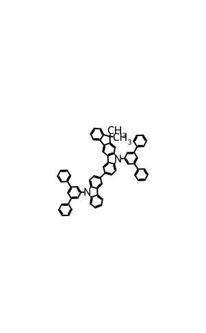 CC1(C)c2ccccc2-c2cc3c4cc(-c5ccc6c(c5)c5ccccc5n6-c5cc(-c6ccccc6)cc(-c6ccccc6)c5)ccc4n(-c4cc(-c5ccccc5)cc(-c5ccccc5)c4)c3cc21